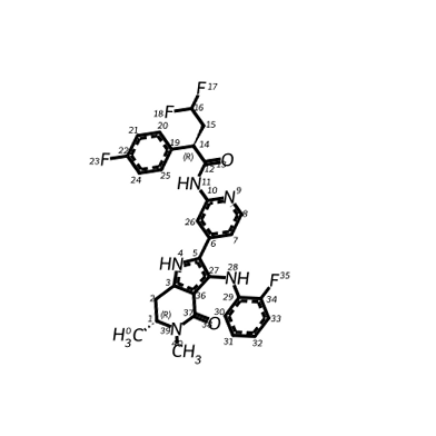 C[C@@H]1Cc2[nH]c(-c3ccnc(NC(=O)[C@H](CC(F)F)c4ccc(F)cc4)c3)c(Nc3ccccc3F)c2C(=O)N1C